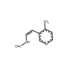 Cc1ccncc1/C=C\NC=O